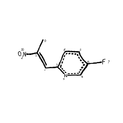 C/C(=C\c1ccc(F)cn1)[N+](=O)[O-]